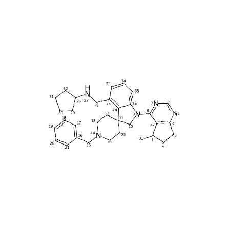 CC1CCc2ncnc(N3CC4(CCN(Cc5ccccc5)CC4)c4c(CNC5CCCC5)cccc43)c21